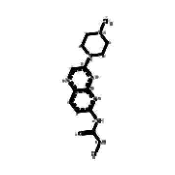 CCNC(=O)Nc1ccc2ncc(N3CCN(C)CC3)nc2n1